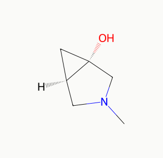 CN1C[C@H]2C[C@@]2(O)C1